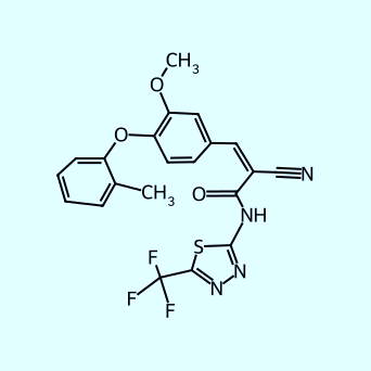 COc1cc(C=C(C#N)C(=O)Nc2nnc(C(F)(F)F)s2)ccc1Oc1ccccc1C